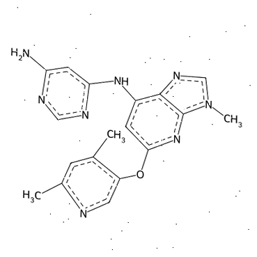 Cc1cc(C)c(Oc2cc(Nc3cc(N)ncn3)c3ncn(C)c3n2)cn1